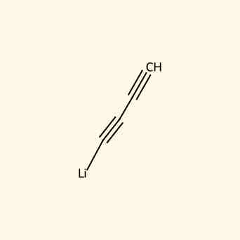 [Li][C]#CC#C